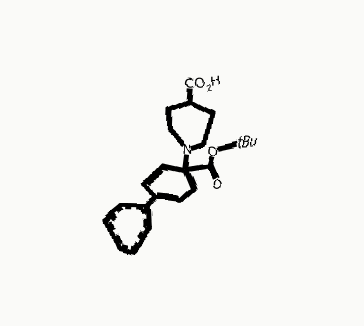 CC(C)(C)OC(=O)C1(N2CCC(C(=O)O)CC2)C=CC(c2ccccc2)=CC1